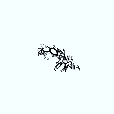 Cc1cc2nc(NC(=O)C3CCNC3)sc2cc1-c1c(C)noc1C